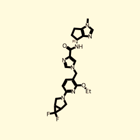 CCOc1nc(N2CC3C(C2)C3(F)F)ccc1Cn1cnc(C(=O)N[C@@H]2CCc3c2ncn3C)c1